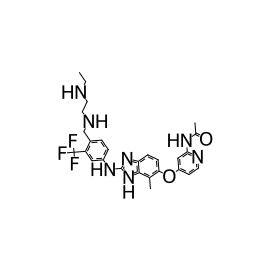 CCNCCNCc1ccc(Nc2nc3ccc(Oc4ccnc(NC(C)=O)c4)c(C)c3[nH]2)cc1C(F)(F)F